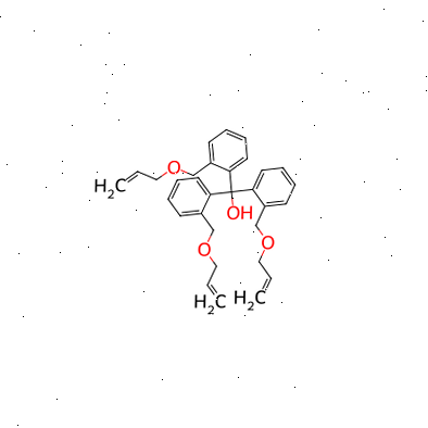 C=CCOCc1ccccc1C(O)(c1ccccc1COCC=C)c1ccccc1COCC=C